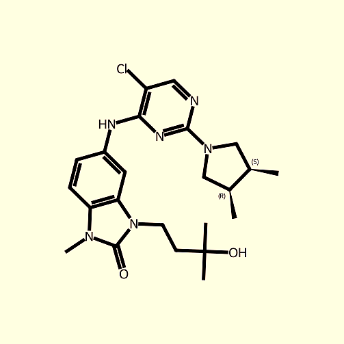 C[C@@H]1CN(c2ncc(Cl)c(Nc3ccc4c(c3)n(CCC(C)(C)O)c(=O)n4C)n2)C[C@@H]1C